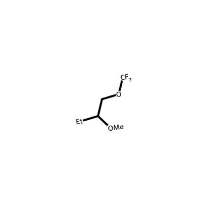 CCC(COC(F)(F)F)OC